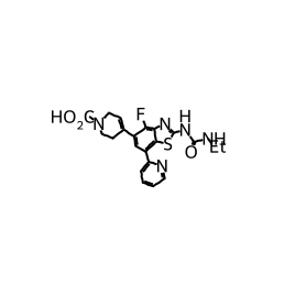 CCNC(=O)Nc1nc2c(F)c(C3=CCN(C(=O)O)CC3)cc(-c3ccccn3)c2s1